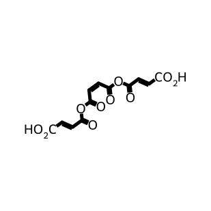 O=C(O)/C=C/C(=O)OC(=O)/C=C\C(=O)OC(=O)/C=C/C(=O)O